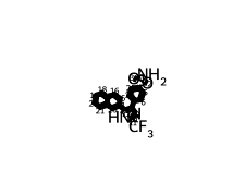 NS(=O)(=O)c1ccc(-c2nc(C(F)(F)F)[nH]c2-c2ccc3ccccc3c2)cc1